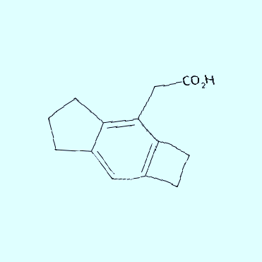 O=C(O)Cc1c2c(cc3c1CC3)CCC2